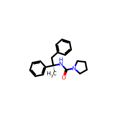 C[C@](Cc1ccccc1)(NC(=O)N1CCCC1)c1ccccc1